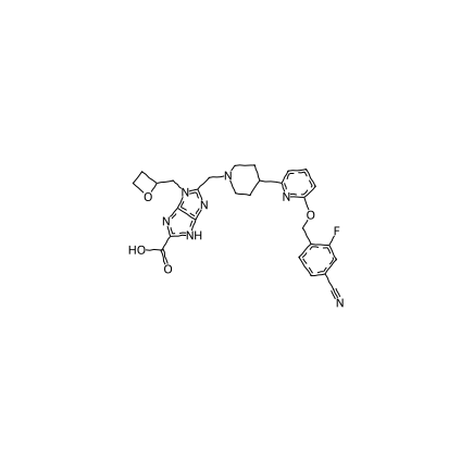 N#Cc1ccc(COc2cccc(C3CCN(Cc4nc5[nH]c(C(=O)O)nc5n4CC4CCO4)CC3)n2)c(F)c1